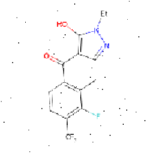 CCn1ncc(C(=O)c2ccc(C(F)(F)F)c(F)c2C)c1O